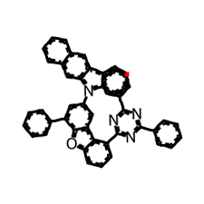 c1ccc(-c2nc(-c3ccccc3)nc(-c3cccc4oc5c(-c6ccccc6)cc(-n6c7ccccc7c7cc8ccccc8cc76)cc5c34)n2)cc1